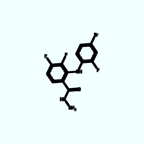 NNC(=O)c1ccc(F)c(F)c1Nc1ccc(Br)cc1F